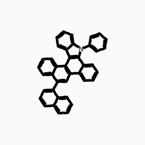 c1ccc(-n2c3ccccc3c3c4c5ccccc5c(-c5cccc6ccccc56)cc4c4ccccc4c32)cc1